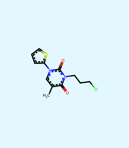 Cc1cn(-c2cccs2)c(=O)n(CCCCl)c1=O